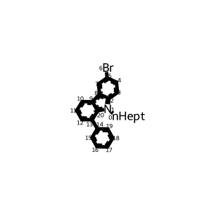 CCCCCCCn1c2ccc(Br)cc2c2cccc(-c3[c]cccc3)c21